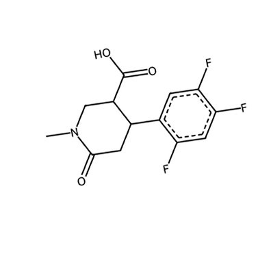 CN1CC(C(=O)O)C(c2cc(F)c(F)cc2F)CC1=O